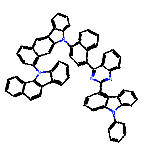 c1ccc(-n2c3ccccc3c3c(-c4nc(-c5ccc(-n6c7ccccc7c7cc8cccc(-n9c%10ccccc%10c%10ccc%11ccccc%11c%109)c8cc76)c6ccccc56)c5ccccc5n4)cccc32)cc1